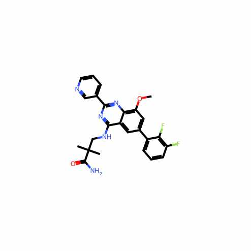 COc1cc(-c2cccc(F)c2F)cc2c(NCC(C)(C)C(N)=O)nc(-c3cccnc3)nc12